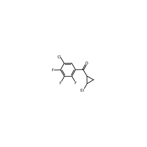 CCC1[CH]C1C(=O)c1cc(Cl)c(F)c(F)c1F